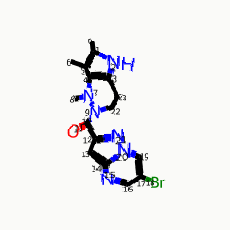 Cc1[nH]c2c(c1C)N(C)N(C(=O)c1cc3ncc(Br)cn3n1)CC2